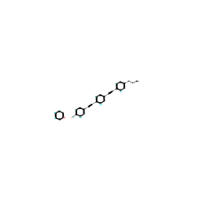 C=CCCc1cc(F)c(C#Cc2cc(F)c(C#Cc3cc(F)c(C(F)(F)Oc4cc(F)c(F)c(F)c4)c(F)c3)c(F)c2)c(F)c1